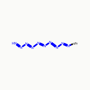 CCCN=NN=NN=NN=NN=N